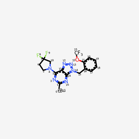 CC(C)(C)c1nc(N2CCC(F)(F)C2)c2nnn(Cc3ccccc3OC(F)(F)F)c2n1